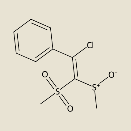 C[S+]([O-])C(=C(Cl)c1ccccc1)S(C)(=O)=O